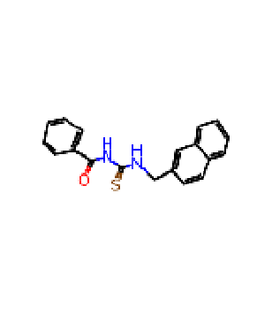 O=C(NC(=S)NCc1ccc2ccccc2c1)c1ccccc1